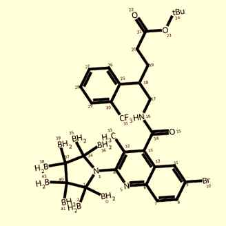 BC1(B)N(c2nc3ccc(Br)cc3c(C(=O)NCC(CCC(=O)OC(C)(C)C)c3ccccc3C(F)(F)F)c2C)C(B)(B)C(B)(B)C1(B)B